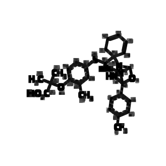 CCCCN1C2OC1(c1ccc(C(F)(F)F)cc1)NN2C1(CSc2ccc(OC(C)(C)C(=O)OCC)c(C)c2)C=CC=CC1